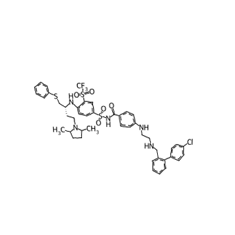 CC1CCC(C)N1CC[C@H](CSc1ccccc1)Nc1ccc(S(=O)(=O)NC(=O)c2ccc(NCCNCc3ccccc3-c3ccc(Cl)cc3)cc2)cc1S(=O)(=O)C(F)(F)F